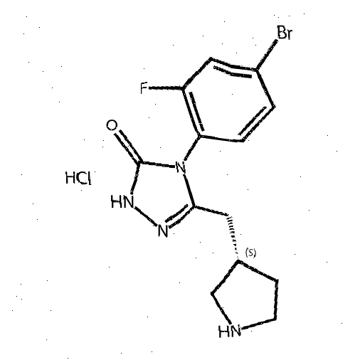 Cl.O=c1[nH]nc(C[C@@H]2CCNC2)n1-c1ccc(Br)cc1F